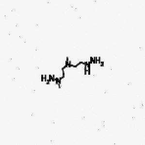 CN(N)CCN(C)CCNN